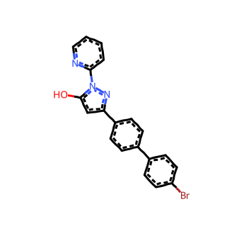 Oc1cc(-c2ccc(-c3ccc(Br)cc3)cc2)nn1-c1ccccn1